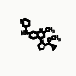 CO[C@@H](C1CC1)[C@@H]1CCCN1c1cc(C)nc2cc(Nc3cccnc3)ccc12